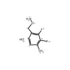 Cc1ccc(CON)c(F)c1F.Cl